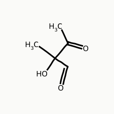 CC(=O)C(C)(O)C=O